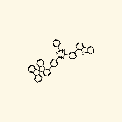 c1ccc(-c2nc(-c3ccc(-c4cccc5c4-c4ccccc4C54c5ccccc5-c5ccccc54)cc3)nc(-c3cccc(-c4cccc5c4sc4ccccc45)c3)n2)cc1